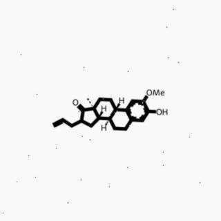 C=CCC1C[C@H]2[C@@H]3CCc4cc(O)c(OC)cc4[C@H]3CC[C@]2(C)C1=O